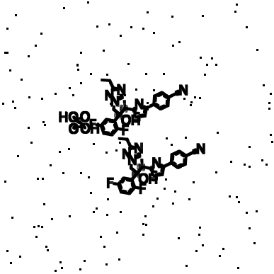 CCc1ncn(C[C@](O)(c2cc(F)ccc2F)[C@@H](C)c2nc(-c3ccc(C#N)cc3)cs2)n1.CCc1ncn(C[C@](O)(c2cc(F)ccc2F)[C@@H](C)c2nc(-c3ccc(C#N)cc3)cs2)n1.O=S(=O)(O)O